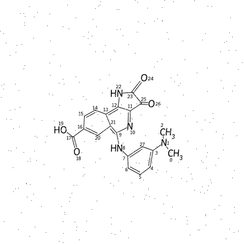 CN(C)c1cccc(Nc2nc3c(c4ccc(C(=O)O)cc24)NC(=O)C3=O)c1